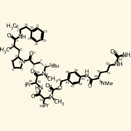 CC[C@H](C)[C@@H](CCC(=O)N1CCC[C@H]1C[C@@H](C)C(=O)N[C@H](C)Cc1ccccc1)N(C)C(=O)C(NC(=O)C(C(C)C)N(C)C(=O)OCc1ccc(NC(=O)[C@H](CCCNC(N)=O)NC)cc1)C(C)C